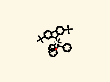 CC(C)(C)c1ccc2c(c1)[CH]([Hf]([CH3])([CH3])(=[C](c1ccccc1)c1ccccc1)[CH]1C=CC=C1)c1cc(C(C)(C)C)ccc1-2